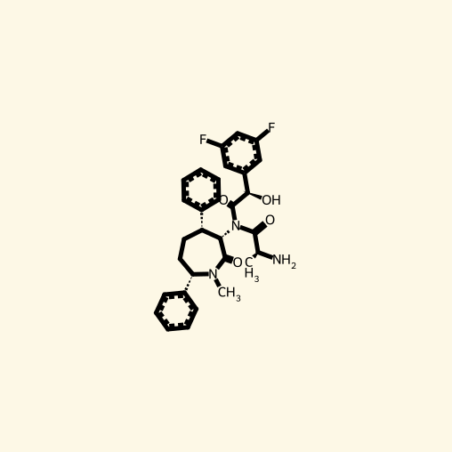 C[C@H](N)C(=O)N(C(=O)[C@H](O)c1cc(F)cc(F)c1)[C@@H]1C(=O)N(C)[C@H](c2ccccc2)CC[C@@H]1c1ccccc1